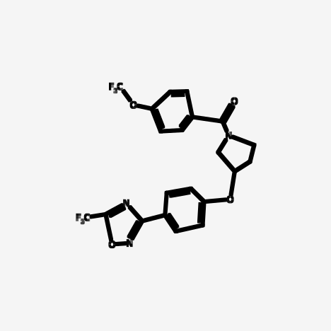 O=C(c1ccc(OC(F)(F)F)cc1)N1CCC(Oc2ccc(-c3noc(C(F)(F)F)n3)cc2)C1